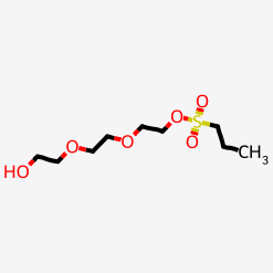 CCCS(=O)(=O)OCCOCCOCCO